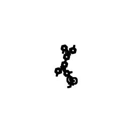 CCC(C)(C)C(=O)OCc1ccc(N(c2ccc(-c3ccc(N(c4cccc(C)c4)c4ccccc4C)cc3)cc2)c2cccc(C)c2)cc1C